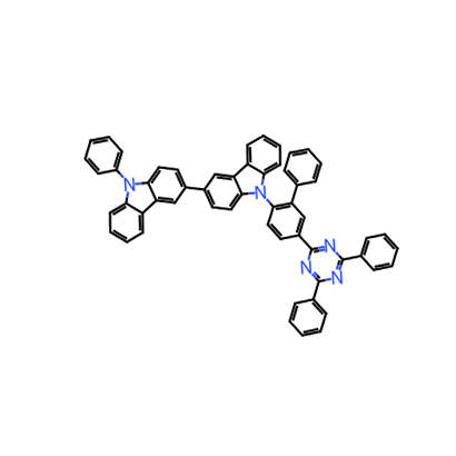 c1ccc(-c2nc(-c3ccccc3)nc(-c3ccc(-n4c5ccccc5c5cc(-c6ccc7c(c6)c6ccccc6n7-c6ccccc6)ccc54)c(-c4ccccc4)c3)n2)cc1